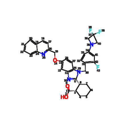 O=C(O)[C@H]1CCCC[C@H]1c1nc2cc(OCc3ccc4ccccc4n3)ccc2n1Cc1ccc(N2CC(F)(F)C2)cc1F